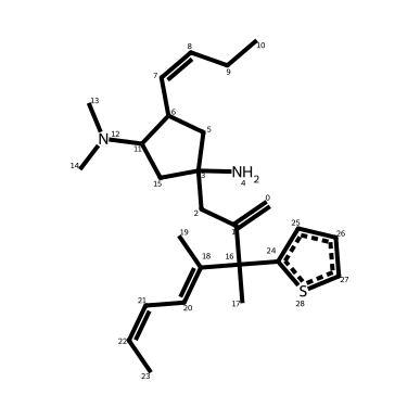 C=C(CC1(N)CC(/C=C\CC)C(N(C)C)C1)C(C)(/C(C)=C/C=C\C)c1cccs1